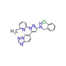 Cc1cccc(-n2nc(NCc3ccccc3Cl)cc2-c2ccc3ncnn3c2)n1